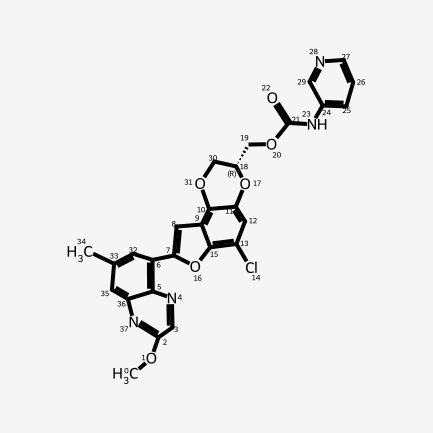 COc1cnc2c(-c3cc4c5c(cc(Cl)c4o3)O[C@@H](COC(=O)Nc3cccnc3)CO5)cc(C)cc2n1